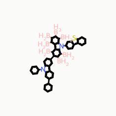 Bc1c(B)c(B)c2c(c1B)c1c(B)c(-c3ccc4c(c3)c3ccc(-c5ccccc5)cc3n4-c3ccccc3)c(B)c(B)c1n2-c1ccc2c(c1)sc1ccccc12